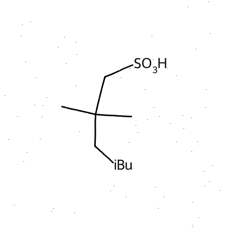 CCC(C)CC(C)(C)CS(=O)(=O)O